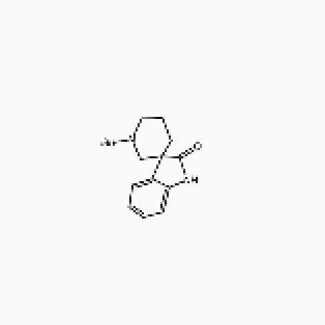 CCC(C)N1CCCC2(C1)C(=O)Nc1ccccc12